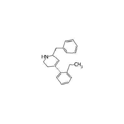 CCc1ccccc1C1=CC(Cc2ccccc2)NCC1